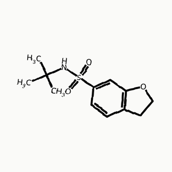 CC(C)(C)NS(=O)(=O)c1ccc2c(c1)OCC2